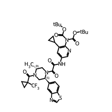 C[C@@H]1CN(C(=O)C(=O)Nc2cnc(N(C(=O)OC(C)(C)C)C(=O)OC(C)(C)C)c(C3CC3)c2)[C@@H](c2ccc3scnc3c2)CN1C(=O)C1(C(F)(F)F)CC1